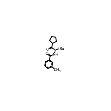 Cc1cccc(C(=O)NN(C(=O)C2CCCC2)C(C)(C)C)c1